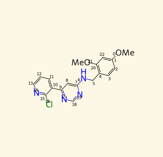 COc1ccc(CNc2cc(-c3cccnc3Cl)ncn2)c(OC)c1